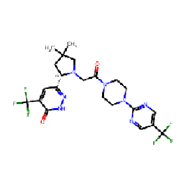 CC1(C)C[C@@H](c2cc(C(F)(F)F)c(=O)[nH]n2)N(CC(=O)N2CCN(c3ncc(C(F)(F)F)cn3)CC2)C1